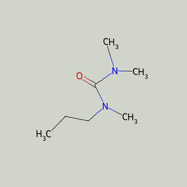 CCCN(C)C(=O)N(C)C